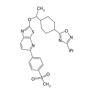 CC(C)c1noc(C2CCC(C(C)Oc3nc4ccc(-c5ccc(S(C)(=O)=O)cc5)nc4s3)CC2)n1